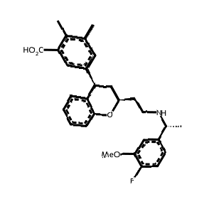 COc1cc([C@@H](C)NCC[C@@H]2C[C@H](c3cc(C)c(C)c(C(=O)O)c3)c3ccccc3O2)ccc1F